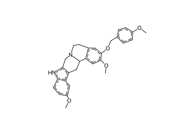 COc1ccc(COc2cc3c(cc2OC)C2Cc4c([nH]c5ccc(OC)cc45)CN2CC3)cc1